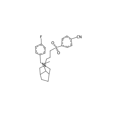 CN(Cc1ccc(F)cc1)C1C2CCC1CN(CCCS(=O)(=O)c1ccc(C#N)cc1)C2